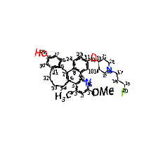 COc1cc(C)c(C2=C(c3ccc(OC4CCN(CCCF)CC4)cc3)c3ccc(O)cc3CCC2)cn1